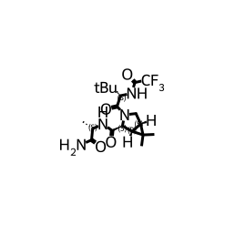 C[C@H](NC(=O)[C@@H]1[C@@H]2[C@H](CN1C(=O)[C@@H](NC(=O)C(F)(F)F)C(C)(C)C)C2(C)C)C(N)=O